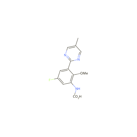 COc1c(NC(=O)O)cc(F)cc1-c1ncc(C)cn1